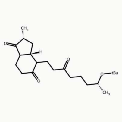 C[C@H](CCCC(=O)CCC1C(=O)CCC2C(=O)[C@H](C)C[C@H]12)OC(C)(C)C